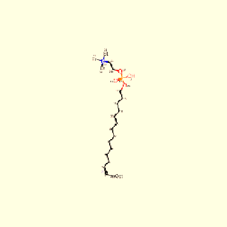 CCCCCCCC/C=C\CCCCCCCCCCCCOP(=O)(O)OCC[N+](CC)(CC)CC